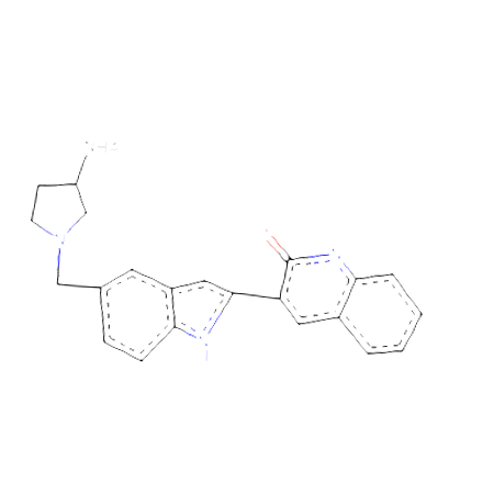 CC(=O)NC1CCN(Cc2ccc3[nH]c(-c4cc5ccccc5[nH]c4=O)cc3c2)C1